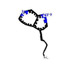 CC(=O)CCc1c[nH]c2cnccc12